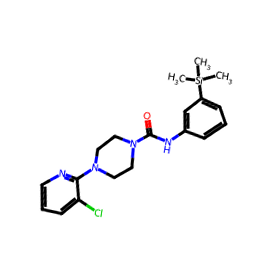 C[Si](C)(C)c1cccc(NC(=O)N2CCN(c3ncccc3Cl)CC2)c1